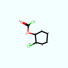 O=C(Cl)OC1CCCCC1Cl